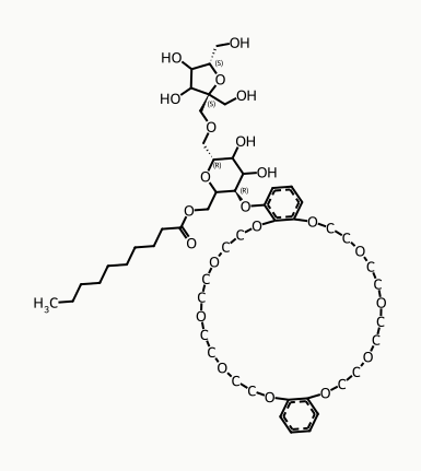 CCCCCCCCCC(=O)OCC1O[C@H](COC[C@]2(CO)O[C@@H](CO)C(O)C2O)C(O)C(O)[C@H]1Oc1cccc2c1OCCOCCOCCOCCOc1ccccc1OCCOCCOCCOCCO2